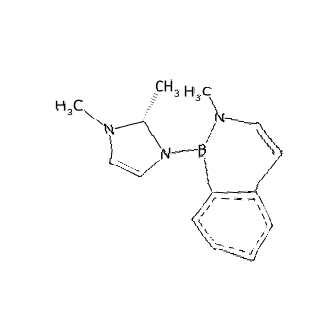 C[C@H]1N(C)C=CN1B1c2ccccc2C=CN1C